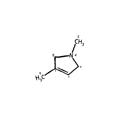 CC1=CCN(C)[CH]1